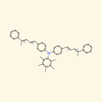 C/C(=C\C=C\c1ccc(N(c2ccc(/C=C/C=C(\C)c3ccccc3)cc2)c2c(C)c(C)c(C)c(C)c2C)cc1)c1ccccc1